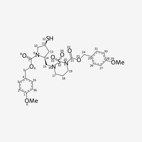 COc1ccc(COC(=O)N2C[C@@H](S)C[C@H]2CN2CCCN(C(=O)OCc3ccc(OC)cc3)S2(=O)=O)cc1